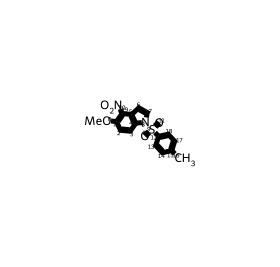 COc1ccc2c(ccn2S(=O)(=O)c2ccc(C)cc2)c1[N+](=O)[O-]